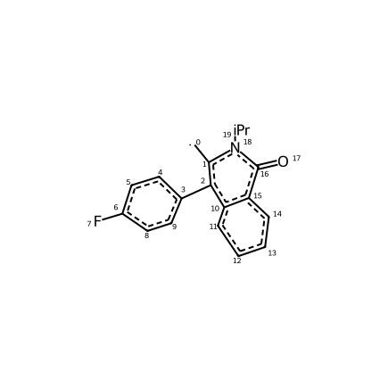 [CH2]c1c(-c2ccc(F)cc2)c2ccccc2c(=O)n1C(C)C